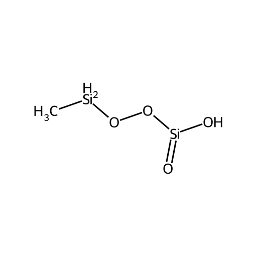 C[SiH2]OO[Si](=O)O